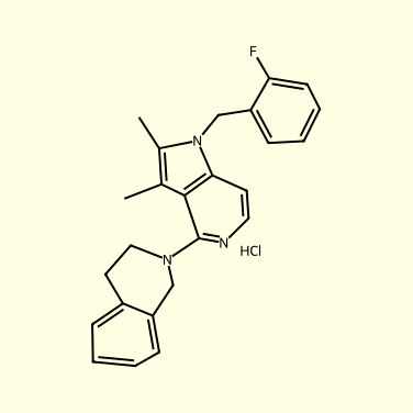 Cc1c(C)n(Cc2ccccc2F)c2ccnc(N3CCc4ccccc4C3)c12.Cl